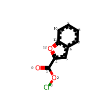 O=C(OCl)c1cc2ccccc2o1